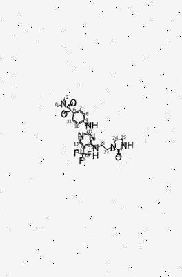 CN(C)S(=O)(=O)c1ccc(Nc2ncc(C(F)(F)F)c(NCCN3CCNC3=O)n2)cc1